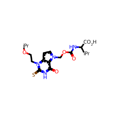 CC(C)OCCn1c(=S)[nH]c(=O)c2c1ccn2COC(=O)NC(C(=O)O)C(C)C